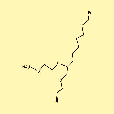 C=CCOCC(CCCCCCCC(C)C)OCCOS(=O)(=O)O